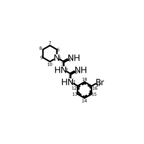 N=C(NC(=N)N1CCCCC1)Nc1cccc(Br)c1